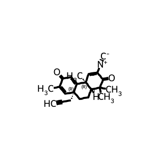 [C-]#[N+]C1=C[C@]2(C)C3=CC(=O)C(C)=C[C@]3(CC#C)CC[C@H]2C(C)(C)C1=O